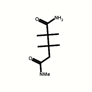 CNC(=O)CC(C)(C)C(C)(C)C(N)=O